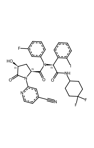 N#Cc1ccnc(N2C(=O)[C@@H](O)C[C@H]2C(=O)N(c2cccc(F)c2)[C@H](C(=O)NC2CCC(F)(F)CC2)c2ccccc2I)c1